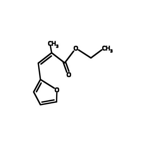 CCOC(=O)C(C)=Cc1ccco1